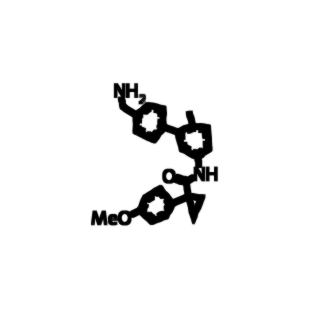 COc1ccc(C2(C(=O)Nc3ccc(C)c(-c4ccc(CN)cc4)c3)CC2)cc1